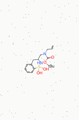 C=CCN(CC1Cc2ccccc2S(O)(O)N1)C(=O)OC(C)(C)C